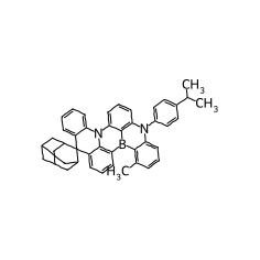 Cc1cccc2c1B1c3cccc4c3N(c3ccccc3C43C4CC5CC(C4)CC3C5)c3cccc(c31)N2c1ccc(C(C)C)cc1